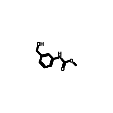 COC(=O)Nc1cccc(CO)c1